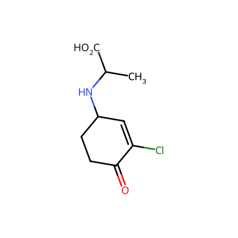 CC(NC1C=C(Cl)C(=O)CC1)C(=O)O